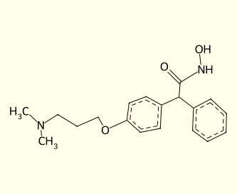 CN(C)CCCOc1ccc(C(C(=O)NO)c2ccccc2)cc1